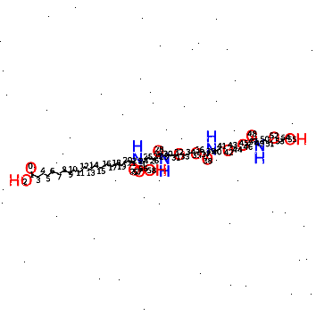 O=C(O)CCCCCCCCCCCCCCCCCCC(=O)N[C@@H](CCC(=O)NCCOCCOCC(=O)NCCOCCOCC(=O)NCCOCCO)C(=O)O